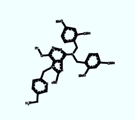 CCCCc1nc2c(N(Cc3ccc(OC)cc3OC)Cc3ccc(OC)cc3OC)nnc(OC(C)C)c2n1Cc1ccc(CN)cn1